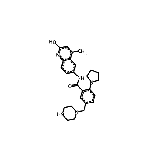 Cc1cc(O)nc2ccc(NC(=O)c3cc(CN4CCNCC4)ccc3N3CCCC3)cc12